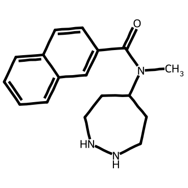 CN(C(=O)c1ccc2ccccc2c1)C1CCNNCC1